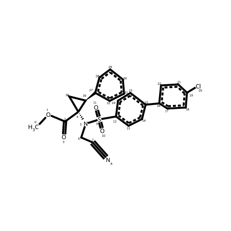 COC(=O)[C@@]1(N(CC#N)S(=O)(=O)c2ccc(-c3ccc(Cl)cc3)cc2)C[C@H]1c1ccccc1